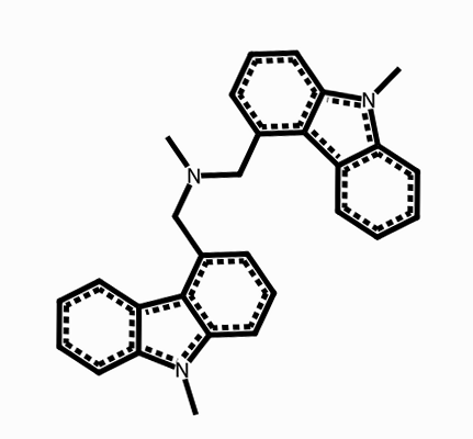 CN(Cc1cccc2c1c1ccccc1n2C)Cc1cccc2c1c1ccccc1n2C